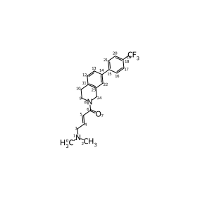 CN(C)C/C=C/C(=O)N1CCc2ccc(-c3ccc(C(F)(F)F)cc3)cc2C1